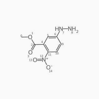 COC(=O)c1cc(NN)ccc1[N+](=O)[O-]